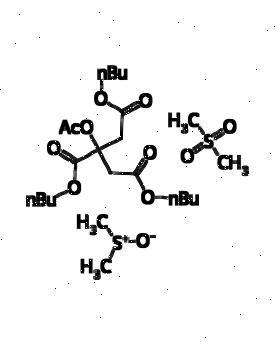 CCCCOC(=O)CC(CC(=O)OCCCC)(OC(C)=O)C(=O)OCCCC.CS(C)(=O)=O.C[S+](C)[O-]